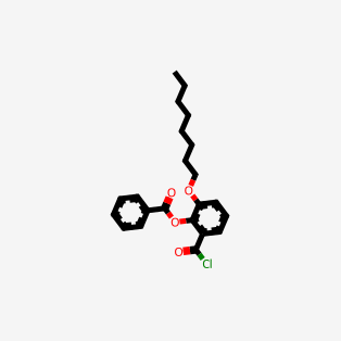 CCCCCCCCOc1cccc(C(=O)Cl)c1OC(=O)c1ccccc1